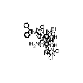 CCC(=O)N[C@H]1C[C@](C(CC(N)=O)[C@@H]2C[C@@H](n3cnc4c(Cl)nc(Cl)nc43)[C@H](O)[C@@H]2O)(n2cnc3c(NCC(c4ccccc4)c4ccccc4)nc(Cl)nc32)[C@H](O)[C@@H]1O